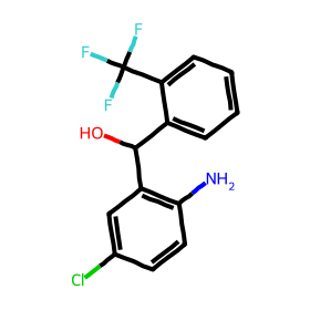 Nc1ccc(Cl)cc1C(O)c1ccccc1C(F)(F)F